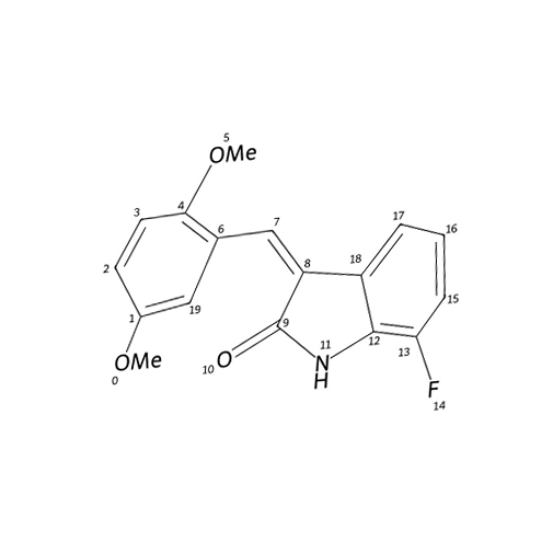 COc1ccc(OC)c(C=C2C(=O)Nc3c(F)cccc32)c1